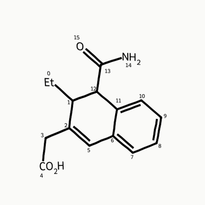 CCC1C(CC(=O)O)=Cc2ccccc2C1C(N)=O